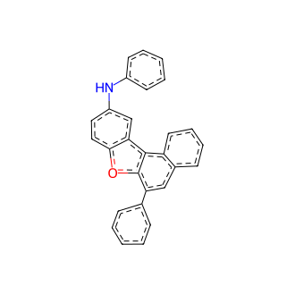 c1ccc(Nc2ccc3oc4c(-c5ccccc5)cc5ccccc5c4c3c2)cc1